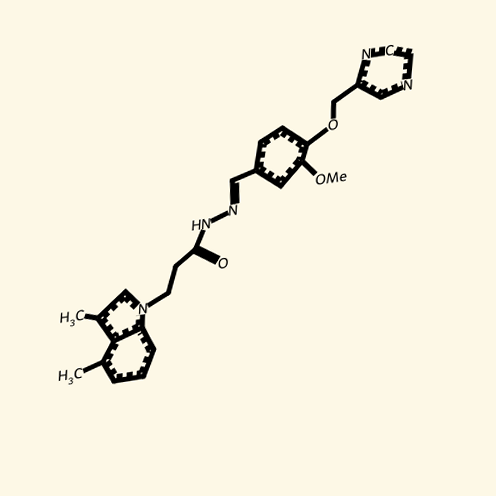 COc1cc(C=NNC(=O)CCn2cc(C)c3c(C)cccc32)ccc1OCc1cnccn1